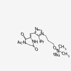 CC(=O)N1CC(=O)NC(=Cc2ncn(CCCO[Si](C)(C)C(C)(C)C)c2C(C)C)C1=O